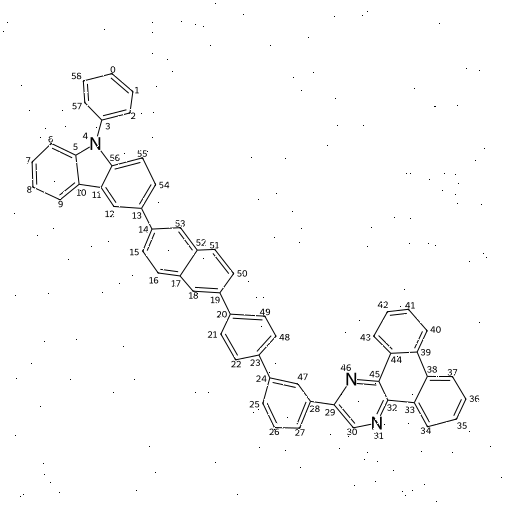 c1ccc(-n2c3ccccc3c3cc(-c4ccc5cc(-c6ccc(-c7cccc(-c8cnc9c%10ccccc%10c%10ccccc%10c9n8)c7)cc6)ccc5c4)ccc32)cc1